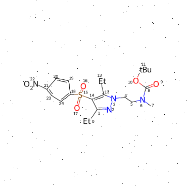 CCc1nn(CCN(C)C(=O)OC(C)(C)C)c(CC)c1S(=O)(=O)c1ccc([N+](=O)[O-])cc1